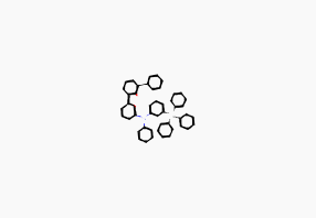 c1ccc(-c2cccc3c2oc2c(N(c4ccccc4)c4cccc([Si](c5ccccc5)(c5ccccc5)c5ccccc5)c4)cccc23)cc1